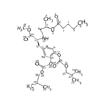 CCCCC(=O)OC(C)CN[C@@H](Cc1ccc(OC(=O)OCC(C)C)c(OC(=O)OCC(C)C)c1)C(=O)OC